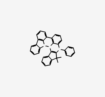 CC1(C)C2=C(B3c4c(cccc4N2c2ccccc2)-c2cccc4c5ccccc5n3c24)c2ccccc21